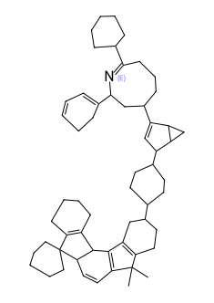 CC1(C)C2=C(C3=C1CCC(C1CCC(C4C=C(C5CCC/C(C6CCCCC6)=N\C(C6=CC=CCC6)C5)C5CC54)CC1)C3)C1C3=C(CCCC3)C3(CCCCC3)C1C=C2